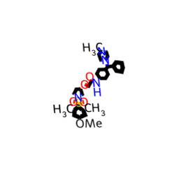 COc1cc(C)c(S(=O)(=O)N2CCC(OCC(=O)NC3CCC(C(c4ccccc4)N4CCN(C)CC4)CC3)C2)c(C)c1